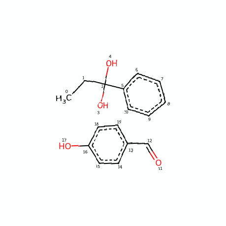 CCC(O)(O)c1ccccc1.O=Cc1ccc(O)cc1